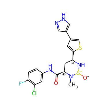 CN1[C@@H](C(=O)Nc2ccc(F)c(Cl)c2)C[C@@H](c2cc(-c3cn[nH]c3)cs2)N[S+]1[O-]